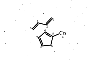 C=CC=C.[Co][C]1=CC=CC1